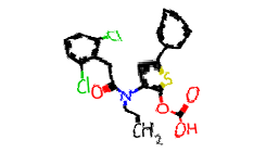 C=CCN(C(=O)Cc1c(Cl)cccc1Cl)c1cc(-c2ccccc2)sc1OC(=O)O